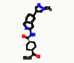 COC(=O)[C@H]1CC[C@H](C(=O)Nc2cc3cc(-c4cnn(C)c4)ccc3cn2)CC1